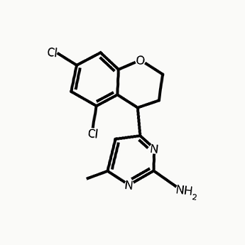 Cc1cc(C2CCOc3cc(Cl)cc(Cl)c32)nc(N)n1